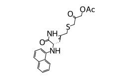 CC(=O)OCC(=O)CSCCC[C@H](Nc1cccc2ccccc12)C(N)=O